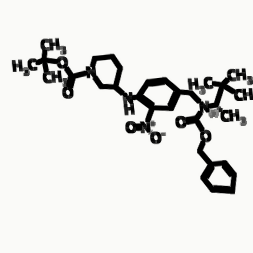 C[C@H](N(Cc1ccc(NC2CCCN(C(=O)OC(C)(C)C)C2)c([N+](=O)[O-])c1)C(=O)OCc1ccccc1)C(C)(C)C